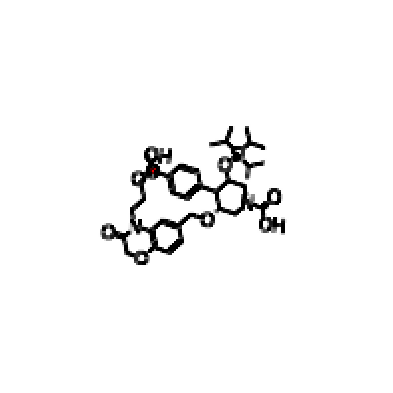 COCCCN1C(=O)COc2ccc(CO[C@H]3CN(C(=O)O)CC(O[Si](C(C)C)(C(C)C)C(C)C)C3c3ccc(C(=O)O)cc3)cc21